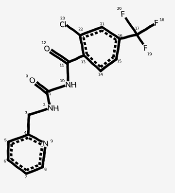 O=C(NCc1ccccn1)NC(=O)c1ccc(C(F)(F)F)cc1Cl